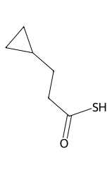 O=C(S)CCC1CC1